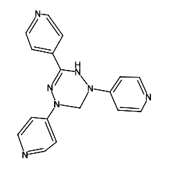 c1cc(C2=NN(c3ccncc3)CN(c3ccncc3)N2)ccn1